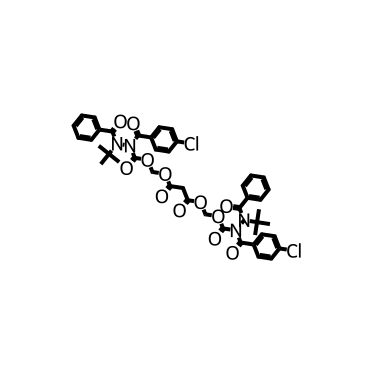 CC(C)(C)N(C(=O)c1ccccc1)N(C(=O)OCOC(=O)CC(=O)OCOC(=O)N(C(=O)c1ccc(Cl)cc1)N(C(=O)c1ccccc1)C(C)(C)C)C(=O)c1ccc(Cl)cc1